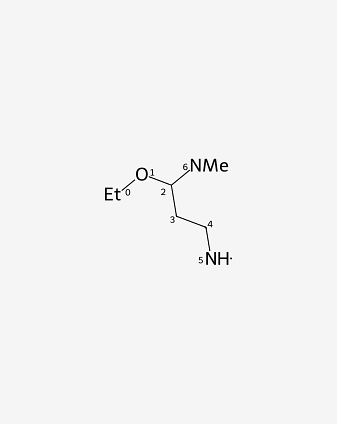 CCOC(CC[NH])NC